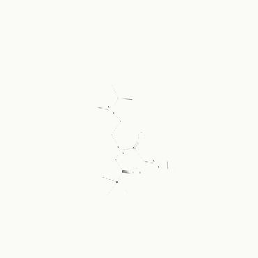 CC(C)N(C)CCN(CC(=O)C(C)(C)C)C(=O)CN